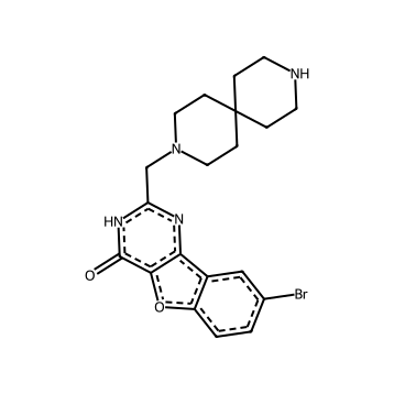 O=c1[nH]c(CN2CCC3(CCNCC3)CC2)nc2c1oc1ccc(Br)cc12